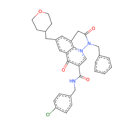 O=C(NCc1ccc(Cl)cc1)c1cn2c3c(cc(CC4CCOCC4)cc3c1=O)CC(=O)N2Cc1ccccc1